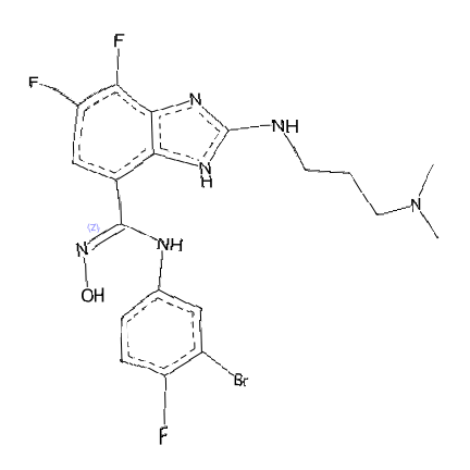 CN(C)CCCNc1nc2c(F)c(F)cc(/C(=N/O)Nc3ccc(F)c(Br)c3)c2[nH]1